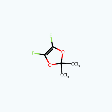 FC1=C(F)OC(C(Cl)(Cl)Cl)(C(Cl)(Cl)Cl)O1